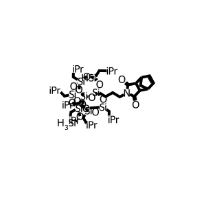 CC(C)C[SiH]1O[Si]2(CCCN3C(=O)C4C5C=CC(C5)C4C3=O)O[Si]3(CC(C)C)O[Si](CC(C)C)(O[SiH3])O[Si]4(CC(C)C)O[Si](CC(C)C)(O1)O[Si](CC(C)C)(O2)O[Si](CC(C)C)(O3)O4